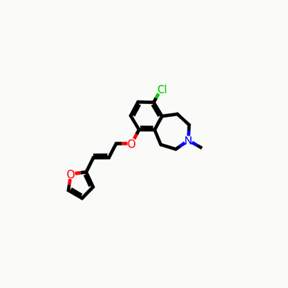 CN1CCc2c(Cl)ccc(OCC=Cc3ccco3)c2CC1